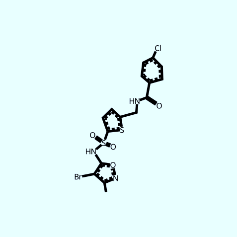 Cc1noc(NS(=O)(=O)c2ccc(CNC(=O)c3ccc(Cl)cc3)s2)c1Br